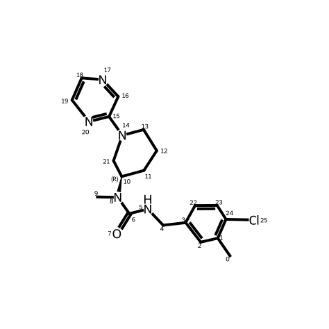 Cc1cc(CNC(=O)N(C)[C@@H]2CCCN(c3cnccn3)C2)ccc1Cl